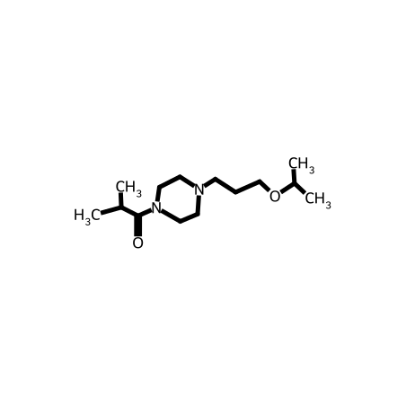 CC(C)OCCCN1CCN(C(=O)C(C)C)CC1